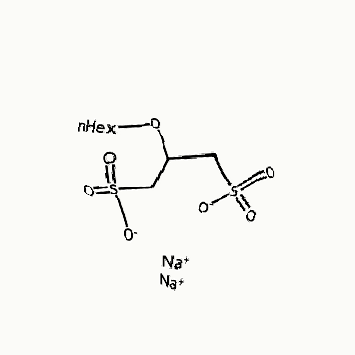 CCCCCCOC(CS(=O)(=O)[O-])CS(=O)(=O)[O-].[Na+].[Na+]